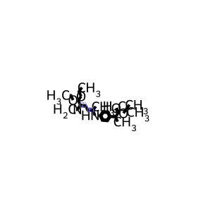 C=N/C(=C\C=C(/C)Nc1ccc(C(C)C(=O)OC(C)(C)C)cc1)C(OCC)OCC